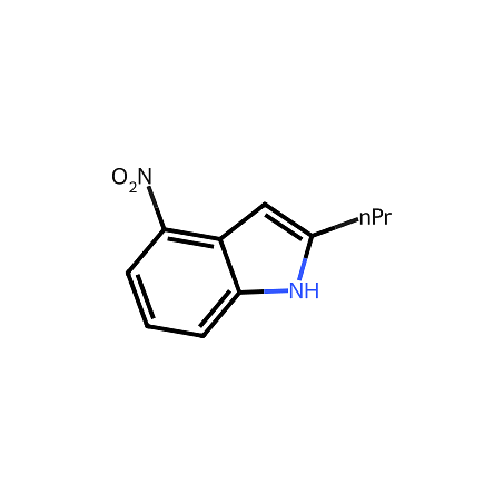 CCCc1cc2c([N+](=O)[O-])cccc2[nH]1